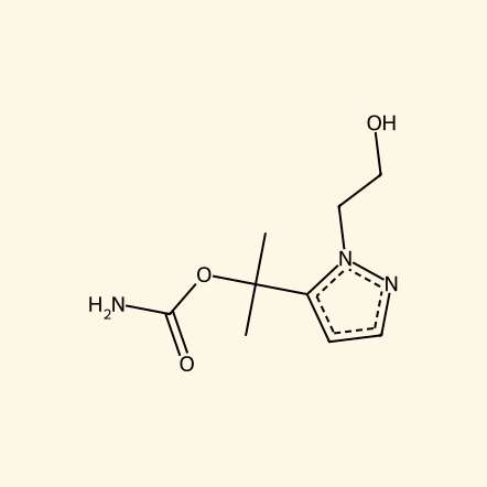 CC(C)(OC(N)=O)c1ccnn1CCO